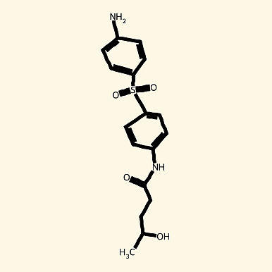 CC(O)CCC(=O)Nc1ccc(S(=O)(=O)c2ccc(N)cc2)cc1